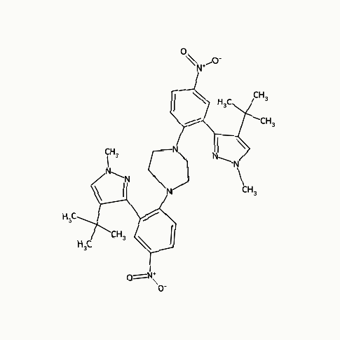 Cn1cc(C(C)(C)C)c(-c2cc([N+](=O)[O-])ccc2N2CCN(c3ccc([N+](=O)[O-])cc3-c3nn(C)cc3C(C)(C)C)CC2)n1